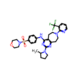 CC1CCCN1c1nc2c(c(Nc3ccc(S(=O)(=O)N4CCOCC4)cc3)n1)CCN(c1ncccc1C(F)(F)F)CC2